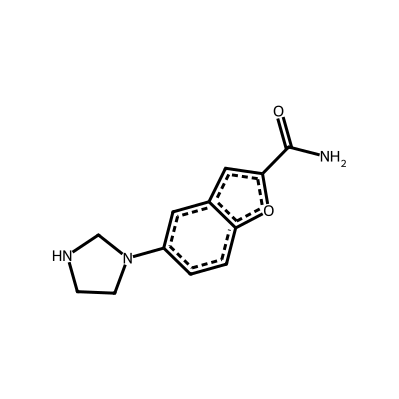 NC(=O)c1cc2cc(N3CCNC3)ccc2o1